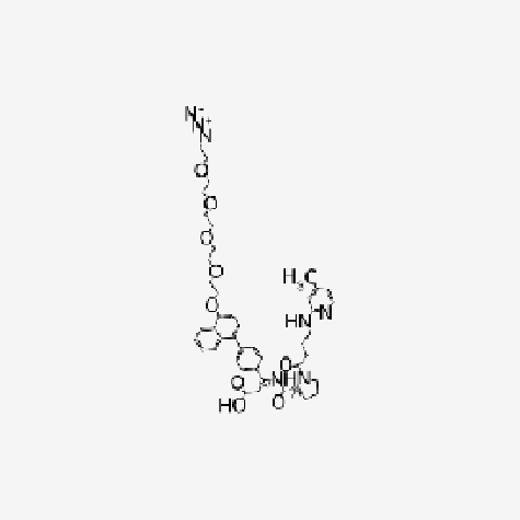 Cc1ccnc(NCCCC(=O)N2CCC[C@@H]2C(=O)N[C@@H](CC(=O)O)c2ccc(-c3ccc(OCCOCCOCCOCCOCCN=[N+]=[N-])c4ccccc34)cc2)c1